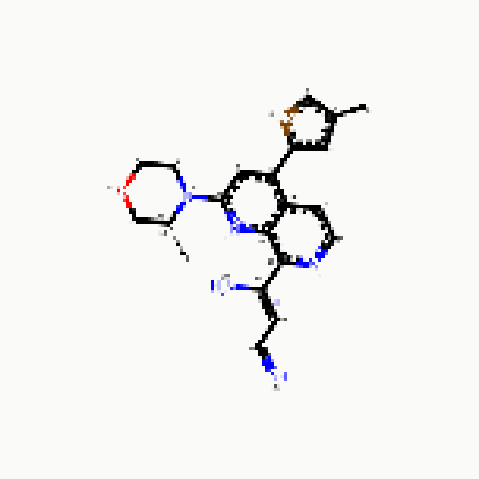 Cc1csc(-c2cc(N3CCOC[C@H]3C)nc3c(/C(N)=C/C=N)nccc23)c1